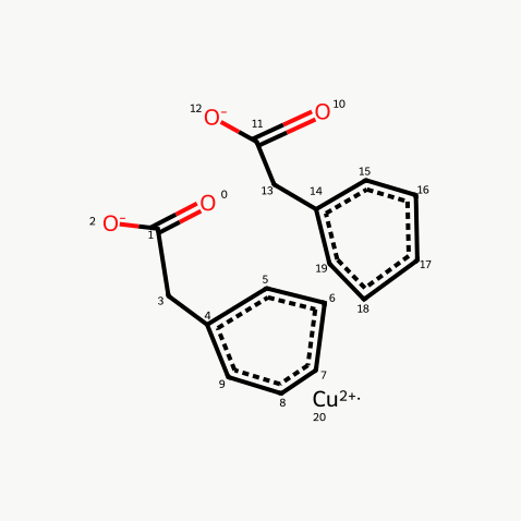 O=C([O-])Cc1ccccc1.O=C([O-])Cc1ccccc1.[Cu+2]